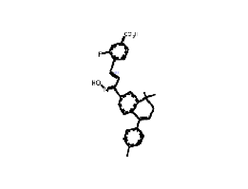 Cc1ccc(C2=CCC(C)(C)c3cc(C(/C=C/c4ccc(C(=O)O)cc4F)=NO)ccc32)cc1